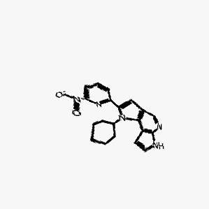 O=[N+]([O-])c1cccc(-c2cc3cnc4[nH]ccc4c3n2C2CCCCC2)n1